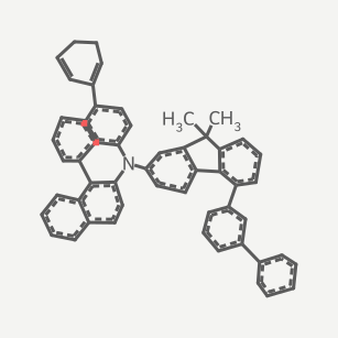 CC1(C)c2cc(N(c3ccc(C4=CCCC=C4)cc3)c3ccc4ccccc4c3-c3ccccc3)ccc2-c2c(-c3cccc(-c4ccccc4)c3)cccc21